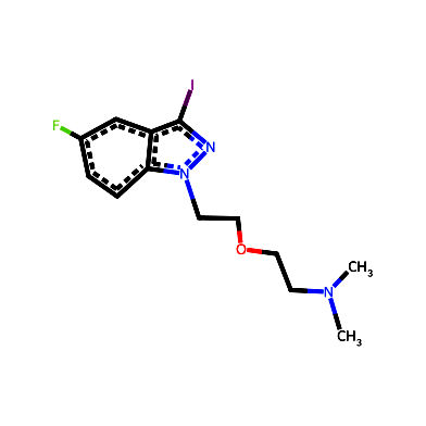 CN(C)CCOCCn1nc(I)c2cc(F)ccc21